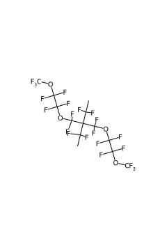 CC(F)(F)C(C(C)(F)F)(C(F)(F)OC(F)(F)C(F)(F)OC(F)(F)F)C(F)(F)OC(F)(F)C(F)(F)OC(F)(F)F